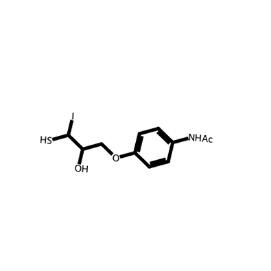 CC(=O)Nc1ccc(OCC(O)C(S)I)cc1